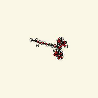 CC(=O)OC[C@H]1O[C@@H](Oc2cc3c(c4ccccc24)[C@H](CCl)CN3C(=O)/C=C/c2ccc(/C=C/C(=O)N3C[C@@H](CCl)c4c3cc(O[C@@H]3O[C@H](COC(C)=O)[C@H](OC(C)=O)[C@H](OC(C)=O)[C@H]3OC(C)=O)c3ccccc43)c(NC(=O)CCOCCOCCOCCOCCOCCOCCOCCNC(=O)CCCCC=O)c2)[C@H](OC(C)=O)[C@@H](OC(C)=O)[C@H]1OC(C)=O